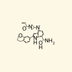 C=CC(=O)N1CC(N(C)c2ccc(C(N)O)c3[nH]c(-c4ccc5c(c4)OCCC5)cc23)C1